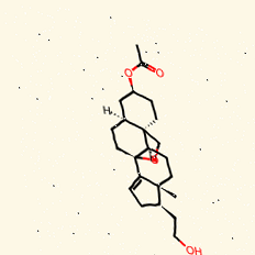 CC(=O)O[C@H]1CC[C@@]23CO[C@]4(CC[C@H]2C1)C1=CC[C@H](CCO)[C@@]1(C)CC[C@H]34